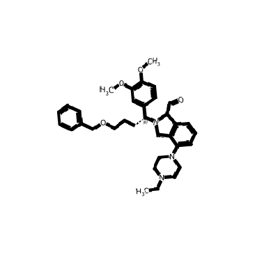 CCN1CCN(c2cccc3c2CN([C@H](CCCOCc2ccccc2)c2ccc(OC)c(OC)c2)C3C=O)CC1